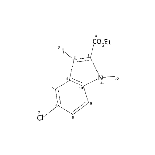 CCOC(=O)c1c(I)c2cc(Cl)ccc2n1C